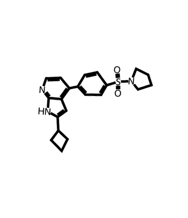 O=S(=O)(c1ccc(-c2ccnc3[nH]c(C4CCC4)cc23)cc1)N1CCCC1